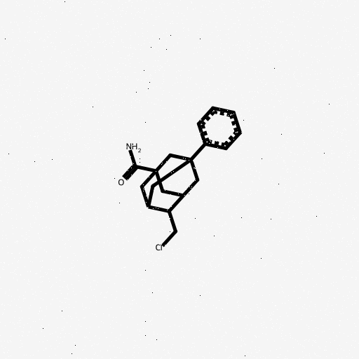 NC(=O)C12CC3CC(c4ccccc4)(CC(C1)C3CCl)C2